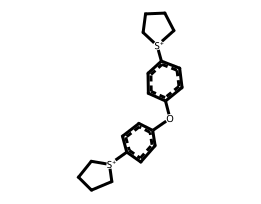 c1cc([S+]2CCCC2)ccc1Oc1ccc([S+]2CCCC2)cc1